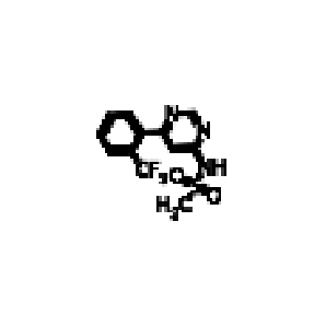 CS(=O)(=O)Nc1cc(-c2ccccc2C(F)(F)F)ncn1